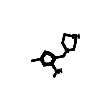 CNc1cc(C)ccc1CN1CCNCC1